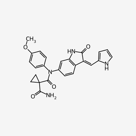 COc1ccc(N(C(=O)C2(C(N)=O)CC2)c2ccc3c(c2)NC(=O)/C3=C\c2ccc[nH]2)cc1